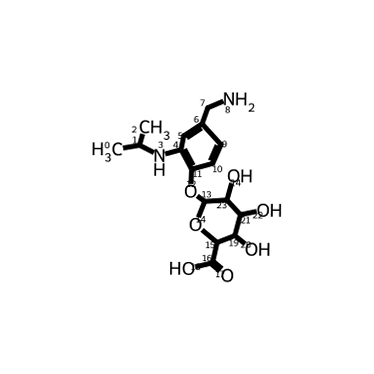 CC(C)Nc1cc(CN)ccc1OC1OC(C(=O)O)C(O)C(O)C1O